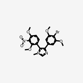 COc1cc(-c2ncn(C)c2-c2ccc(OC)c([N+](=O)[O-])c2OC)cc(OC)c1Br